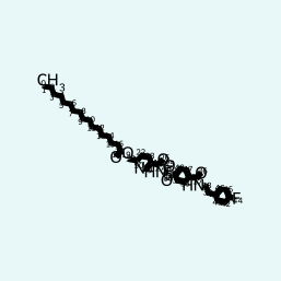 CCCCCCCCCCCCCCCCCC(=O)OCc1ccc(C(=O)NS(=O)(=O)c2ccc(C(=O)NCCc3ccc(F)cc3)cc2)cn1